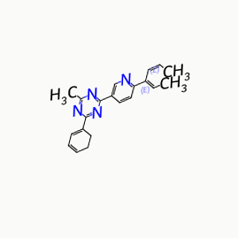 C/C=C\C(=C/C)c1ccc(-c2nc(C)nc(C3=CC=CCC3)n2)cn1